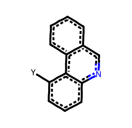 [Y][c]1cccc2ncc3ccccc3c12